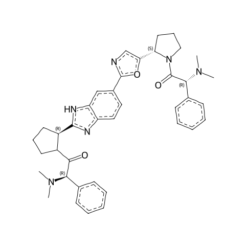 CN(C)[C@@H](C(=O)C1CCC[C@H]1c1nc2ccc(-c3ncc([C@@H]4CCCN4C(=O)[C@@H](c4ccccc4)N(C)C)o3)cc2[nH]1)c1ccccc1